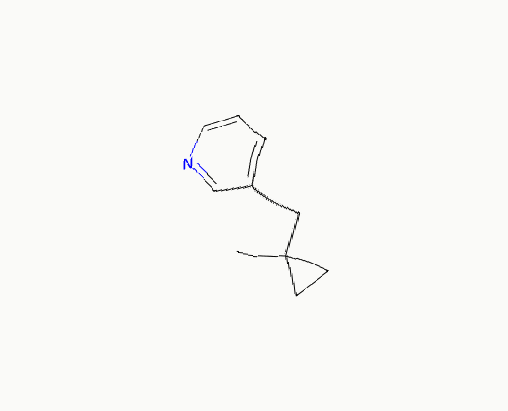 CC1(Cc2cccnc2)CC1